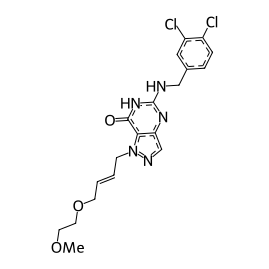 COCCOCC=CCn1ncc2nc(NCc3ccc(Cl)c(Cl)c3)[nH]c(=O)c21